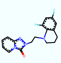 O=c1n(CCN2CCCc3cc(F)cc(F)c32)nc2ccccn12